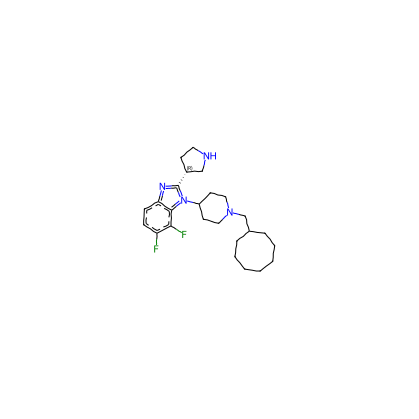 Fc1ccc2nc([C@@H]3CCNC3)n(C3CCN(CC4CCCCCCC4)CC3)c2c1F